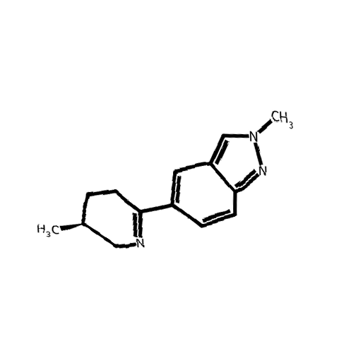 C[C@H]1CCC(c2ccc3nn(C)cc3c2)=NC1